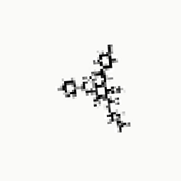 O=C(Cn1c(=O)c(C(=O)NC2CC3(CC3)C2)c(O)c2cc(-c3ccc(F)cc3)cnc21)c1cccnc1